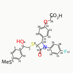 CSc1ccc(C(O)CSC2C(=O)N(c3ccc(F)cc3)C2c2ccc(OCC(=O)O)cc2)cc1